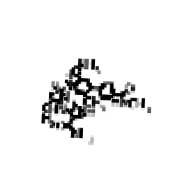 CNC(=O)c1ccc(-c2cc(OC)c(Nc3ncc(C)c(Nc4n[nH]cc4C(N)=O)n3)cc2C)cc1